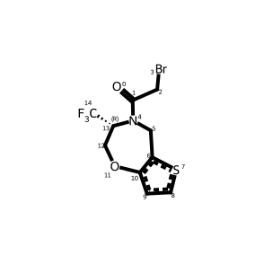 O=C(CBr)N1Cc2sccc2OC[C@@H]1C(F)(F)F